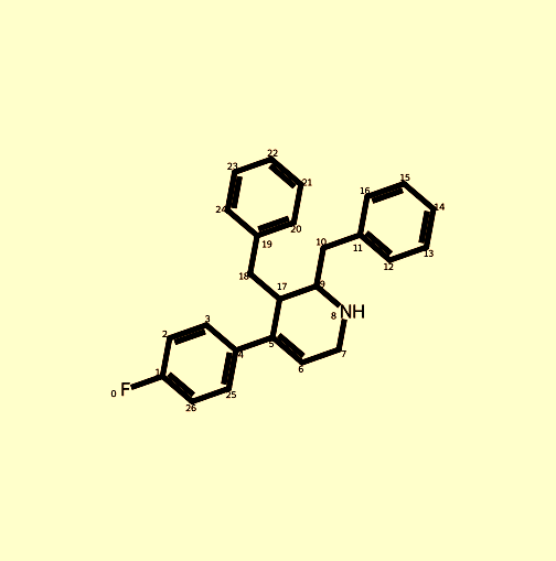 Fc1ccc(C2=CCNC(Cc3ccccc3)C2Cc2ccccc2)cc1